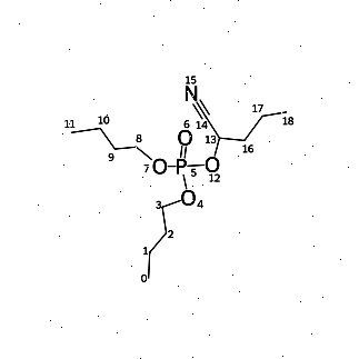 CCCCOP(=O)(OCCCC)OC(C#N)CCC